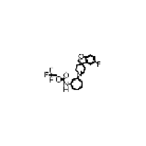 O=C(NC1CCCCC(N2CCC3(CC2)COc2ccc(F)cc23)C1)OCC(F)(F)F